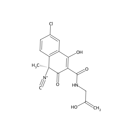 [C-]#[N+][C@]1(C)C(=O)C(C(=O)NCC(=C)O)=C(O)c2cc(Cl)ccc21